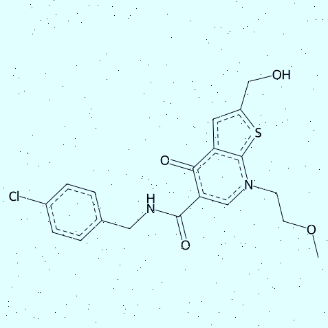 COCCn1cc(C(=O)NCc2ccc(Cl)cc2)c(=O)c2cc(CO)sc21